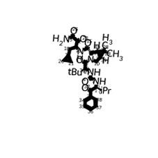 CC(C)[C@H](NC(=O)N[C@H](C(=O)N1C[C@H]2[C@@H]([C@H]1C(=O)NC(CC1CC1)C(=O)C(N)=O)C2(C)C)C(C)(C)C)C(=O)c1ccccc1